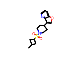 CC1CC(S(=O)(=O)N2CCC(c3coc4cccnc34)CC2)C1